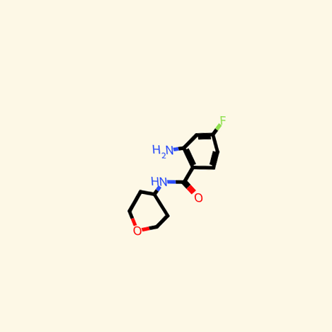 Nc1cc(F)ccc1C(=O)NC1CCOCC1